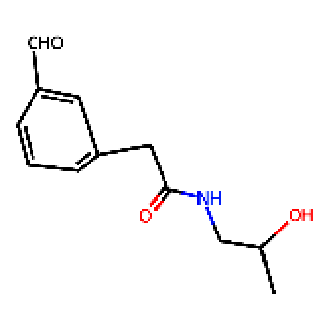 CC(O)CNC(=O)Cc1cccc(C=O)c1